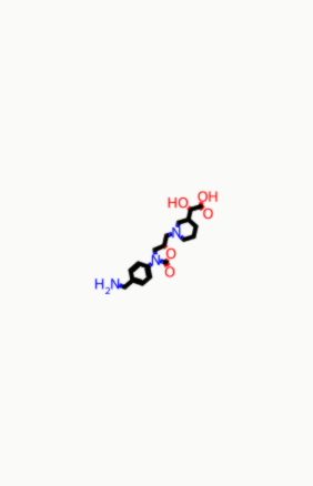 NCc1ccc(N2CC(CN3CCCC(C(O)C(=O)O)C3)OC2=O)cc1